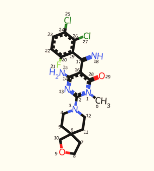 Cn1c(N2CCC3(CCOC3)CC2)nc(N)c(C(=N)c2c(F)ccc(Cl)c2Cl)c1=O